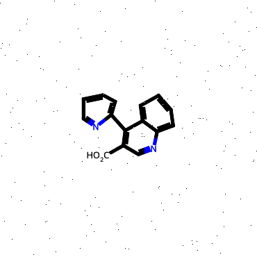 O=C(O)c1cnc2ccccc2c1-c1ccccn1